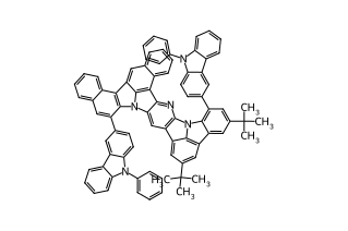 CC(C)(C)c1cc(-c2ccc3c(c2)c2ccccc2n3-c2ccccc2)c2c(c1)c1cc(C(C)(C)C)cc3c4cc5c(nc4n2c31)c1c2ccccc2cc2c3c4ccccc4cc(-c4ccc6c(c4)c4ccccc4n6-c4ccccc4)c3n5c21